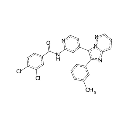 Cc1cccc(-c2nc3cccnn3c2-c2ccnc(NC(=O)c3ccc(Cl)c(Cl)c3)c2)c1